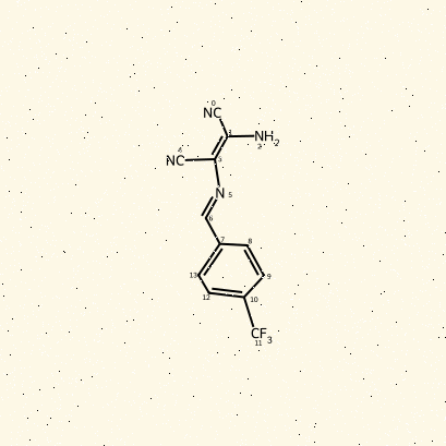 N#C/C(N)=C(\C#N)N=Cc1ccc(C(F)(F)F)cc1